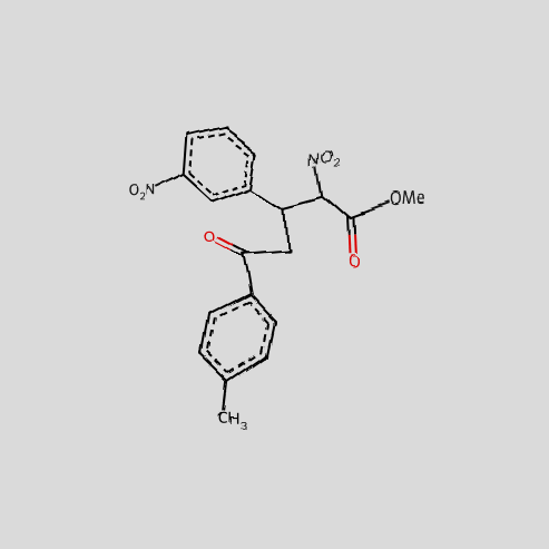 COC(=O)C(C(CC(=O)c1ccc(C)cc1)c1cccc([N+](=O)[O-])c1)[N+](=O)[O-]